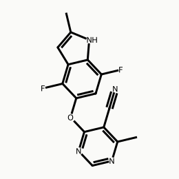 Cc1cc2c(F)c(Oc3ncnc(C)c3C#N)cc(F)c2[nH]1